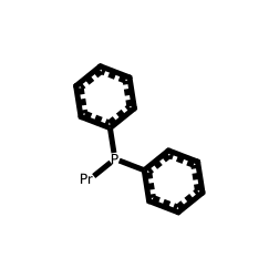 [Pr][P](c1ccccc1)c1ccccc1